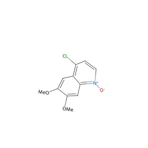 COc1cc2c(Cl)cc[n+]([O-])c2cc1OC